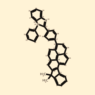 CC1(C)c2ccccc2-c2c1cc1ccc3c(-c4ccc(-c5nc6ccccc6n5-c5ccccc5)cc4)ccc4ccc2c1c43